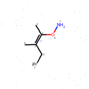 C/C(CC(C)C)=C(\C)ON